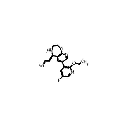 CCOc1ncc(F)cc1-c1cnc2c(c1)/C(=C/C=N)NCCO2